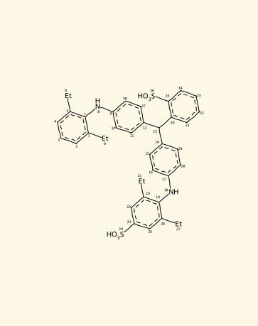 CCc1cccc(CC)c1Nc1ccc(C(c2ccc(Nc3c(CC)cc(S(=O)(=O)O)cc3CC)cc2)c2ccccc2S(=O)(=O)O)cc1